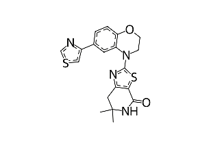 CC1(C)Cc2nc(N3CCOc4ccc(-c5cscn5)cc43)sc2C(=O)N1